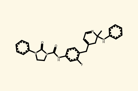 CC1(Nc2ccccc2)CC(Cc2ccc(NC(=O)N3CCN(c4ccccc4)C3=O)cc2F)=CC=N1